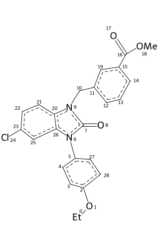 CCOc1ccc(-n2c(=O)n(Cc3cccc(C(=O)OC)c3)c3ccc(Cl)cc32)cc1